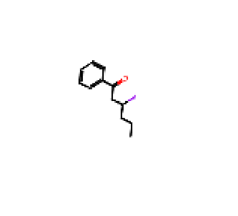 CCCC(I)CC(=O)c1ccccc1